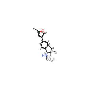 Cc1cc(-c2ccc3c(c2)CC(C)(C)C3NC(=O)O)co1